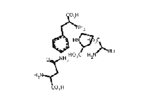 CCC(C)C(N)C(=O)O.NC(=O)CC(N)C(=O)O.NC(Cc1ccccc1)C(=O)O.O=C(O)[C@@H]1CCCN1